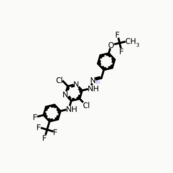 CC(F)(F)Oc1ccc(/C=N/Nc2nc(Cl)nc(Nc3ccc(F)c(C(F)(F)F)c3)c2Cl)cc1